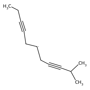 CCC#CC[CH]CC#CC(C)C